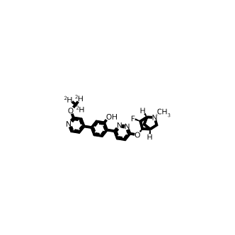 [2H]C([2H])([2H])Oc1cc(-c2ccc(-c3ccc(O[C@@H]4[C@@H]5C[C@H]([C@@H]4F)N(C)C5)nn3)c(O)c2)ccn1